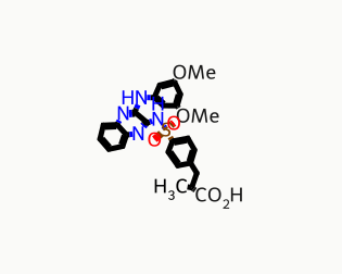 COc1cc(Nc2nc3ccccc3nc2NS(=O)(=O)c2ccc(CC(C)C(=O)O)cc2)cc(OC)c1